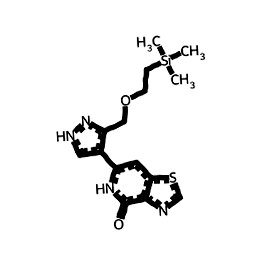 C[Si](C)(C)CCOCc1n[nH]cc1-c1cc2scnc2c(=O)[nH]1